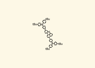 CC(C)(C)c1ccc(B(c2ccc(-c3ccc4c(c3)Sc3cccc5c(-c6ccc(B(c7ccc(C(C)(C)C)cc7)c7ccc(C(C)(C)C)cc7)cc6)ccc-4c35)cc2)c2ccc(C(C)(C)C)cc2)cc1